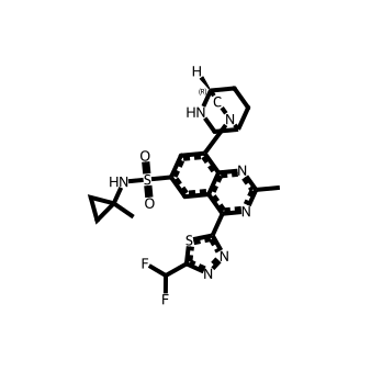 Cc1nc(-c2nnc(C(F)F)s2)c2cc(S(=O)(=O)NC3(C)CC3)cc(N3C[C@H]4CCC3CN4)c2n1